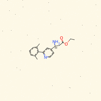 CCOC(=O)C[C@H](N)c1ccnc(-c2c(C)cccc2C)c1